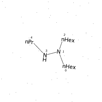 CCCCCCN(CCCCCC)NCCC